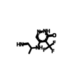 CC(C=N)Nc1cn[nH]c(=O)c1C(F)(F)F